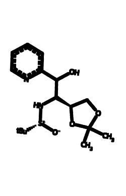 CC1(C)OC[C@H](C(N[S@+]([O-])C(C)(C)C)C(O)c2ccccn2)O1